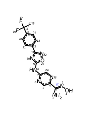 N/C(=N\O)c1cnc(Nc2nc(-c3ccc(C(F)(F)F)cc3)no2)cn1